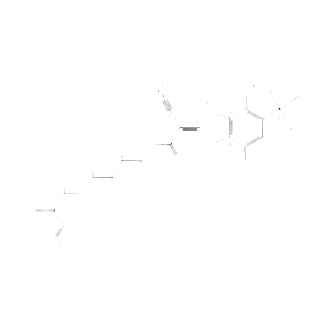 C=C(C=O)COCCCCOC(=O)/C(C#N)=C1\Sc2c(I)cc(C(C)(C)C)c(I)c2S1